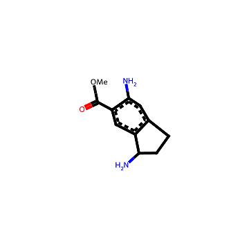 COC(=O)c1cc2c(cc1N)CCC2N